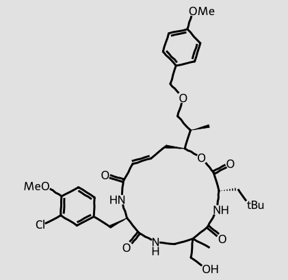 COc1ccc(COC[C@@H](C)[C@@H]2C/C=C/C(=O)N[C@H](Cc3ccc(OC)c(Cl)c3)C(=O)NCC(C)(CO)C(=O)N[C@@H](CC(C)(C)C)C(=O)O2)cc1